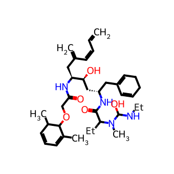 C=C/C=C\C(=C)C[C@H](NC(=O)COC1C(C)=CC=CC1C)[C@@H](O)C[C@H](CC1=CCCC=C1)NC(=O)C(CC)N(C)C(O)NCC